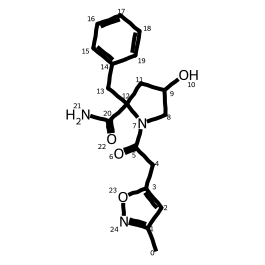 Cc1cc(CC(=O)N2CC(O)CC2(Cc2ccccc2)C(N)=O)on1